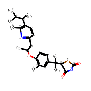 [2H]C(C)(c1ccc(OC(C)Cc2ccc(C(C)C(C)C)c(C)n2)c(C)c1)C1SC(=O)NC1=O